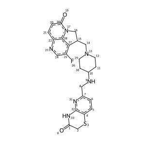 O=C1CSc2ccc(CNC3CCN(CC4Cn5c(=O)ccc6ncc(F)c4c65)CC3)nc2N1